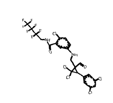 O=CC1(CNc2ccc(Cl)c(C(=O)NCC(F)(F)C(F)(F)C(F)(F)F)c2)C(c2cc(Cl)cc(Cl)c2)C1(Cl)Cl